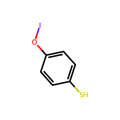 Sc1ccc(OI)cc1